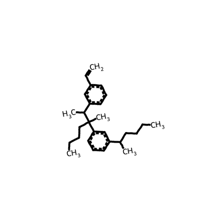 C=Cc1cccc(C(C)C(C)(CCCC)c2cccc(C(C)CCCC)c2)c1